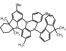 Cc1cc2c3c(c1)N1c4c(cc(C(C)(C)C)cc4C4(C)CCCCC14C)B3c1ccc(C(C)(C)C)cc1N2c1cccc2c1-c1ccccc1C2(C)C